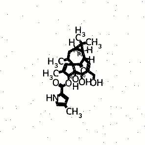 CC1=CC23C(=O)[C@@H](C=C(CO)[C@@H](O)[C@]2(O)[C@H]1OC(=O)c1cc(C)c[nH]1)[C@H]1[C@@H](CC3C)C1(C)C